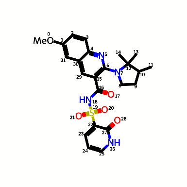 COc1ccc2nc(N3CCC(C)C3(C)C)c(C(=O)NS(=O)(=O)c3ccc[nH]c3=O)cc2c1